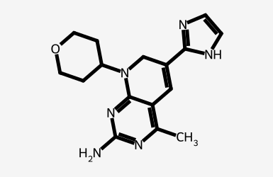 Cc1nc(N)nc2c1C=C(c1ncc[nH]1)CN2C1CCOCC1